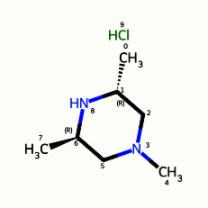 C[C@@H]1CN(C)C[C@@H](C)N1.Cl